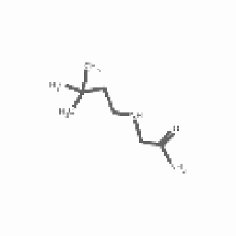 CC(C)(C)CCNCC(N)=O